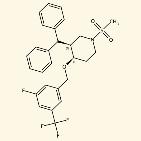 CS(=O)(=O)N1CC[C@@H](OCc2cc(F)cc(C(F)(F)F)c2)[C@@H](C(c2ccccc2)c2ccccc2)C1